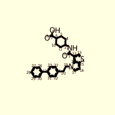 O=C(NC1CCC(C(=O)O)CC1)c1csc2ccn(CCc3ccc(-c4ccccc4)cc3)c12